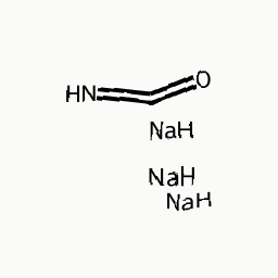 N=C=O.[NaH].[NaH].[NaH]